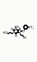 CC(C)CCn1c(Oc2cccc(C(F)(F)F)c2)nc2c1c(=O)n(CCCO)c(=O)n2C